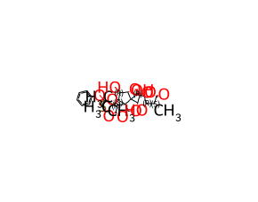 C[C@@H]1C(=O)OC([C@H](O)C23C4OC5OC(=O)[C@H](OC(=S)Oc6ccccc6)C52[C@H](C(C)(C)C)[C@@H](O)C3OC4=O)[C@@H]1O